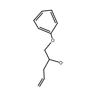 C=CCC([O])[CH]Oc1ccccc1